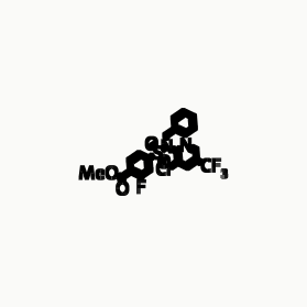 COC(=O)c1ccc(S(=O)(=O)N(Cc2ccccc2)c2ncc(C(F)(F)F)cc2Cl)cc1F